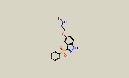 CCNCCOc1ccc2[nH]nc(S(=O)(=O)c3ccccc3)c2c1